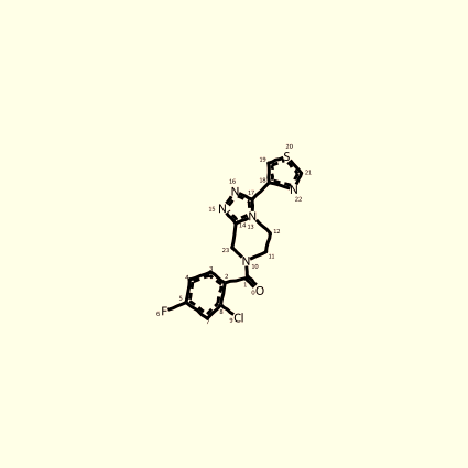 O=C(c1ccc(F)cc1Cl)N1CCn2c(nnc2-c2cscn2)C1